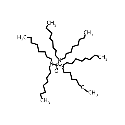 CCCCCCCCN(CCCCCCCC)P(=O)(N(CCCCCCCC)CCCCCCCC)N(CCCCCCCC)CCCCCCCC